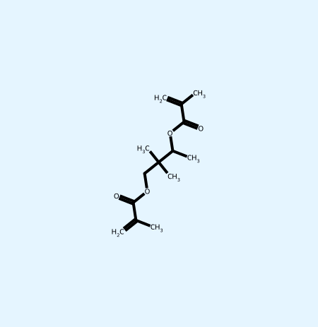 C=C(C)C(=O)OCC(C)(C)C(C)OC(=O)C(=C)C